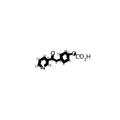 O=C(O)Oc1ccc(CC(=O)c2cccnc2)cc1